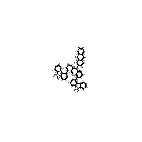 C[Si]1(C)c2ccccc2-c2c(-c3cccc4c(-c5ccc6cc7ccccc7cc6c5)c5cccc(-c6cccc7c6-c6ccccc6[Si]7(C)C)c5cc34)cccc21